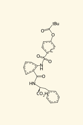 CC(C)(C)C(=O)Oc1ccc(S(=O)(=O)Nc2ccccc2C(=O)N[C@@H](Cc2ccccc2)C(=O)O)cc1